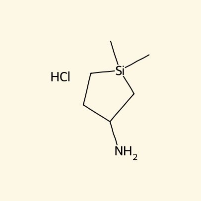 C[Si]1(C)CCC(N)C1.Cl